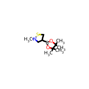 CN1CC(B2OC(C)(C)C(C)(C)O2)CS1